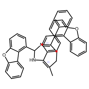 C/C1=C(/c2ccc(-c3ccccc3)cc2)NC(c2cccc3oc4ccccc4c23)/N=C(/c2cccc3oc4ccccc4c23)CC1